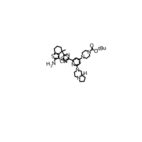 CC(C)(C)OC(=O)N1CCN(c2cc(-c3noc(C4(C)CCCc5sc(N)c(C#N)c54)n3)nc(N3CCN4CCC[C@@H]4C3)c2)CC1